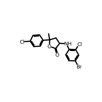 CC1(c2ccc(Cl)cc2)CC(Nc2ccc(Br)cc2Cl)C(=O)O1